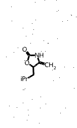 C=C1NC(=O)OC1CC(C)C